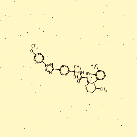 Cc1cccc(N2/C(=N/C(=O)NC(C)(C)c3ccc(-c4ncn(-c5ccc(OC(F)(F)F)cc5)n4)cc3)SCCC2C)c1C(C)C